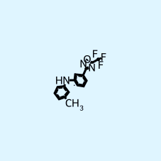 Cc1cccc(Nc2[c]ccc(-c3noc(C(F)(F)F)n3)c2)c1